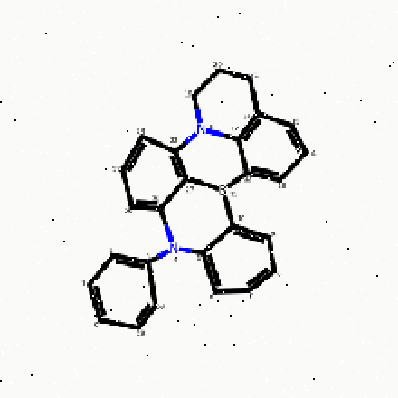 c1ccc(N2c3ccccc3B3c4cccc5c4N(CCC5)c4cccc2c43)cc1